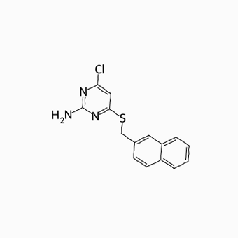 Nc1nc(Cl)cc(SCc2ccc3ccccc3c2)n1